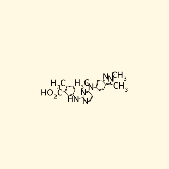 Cc1ccc(Nc2nccc(N(C)c3ccc4c(C)n(C)nc4c3)n2)cc1C(=O)O